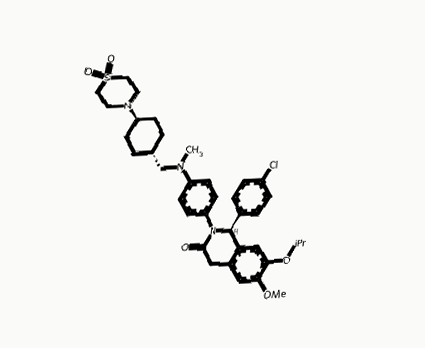 COc1cc2c(cc1OC(C)C)[C@H](c1ccc(Cl)cc1)N(c1ccc(N(C)C[C@H]3CC[C@H](N4CCS(=O)(=O)CC4)CC3)cc1)C(=O)C2